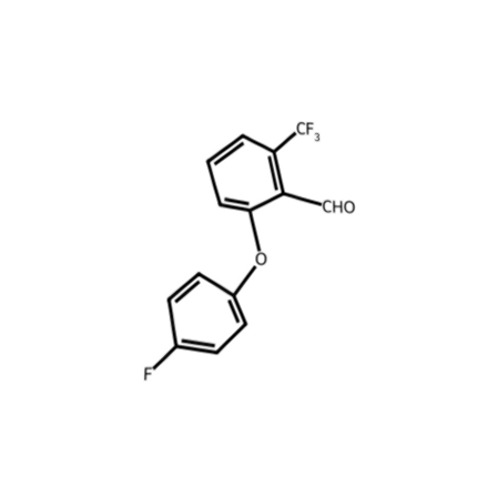 O=Cc1c(Oc2ccc(F)cc2)cccc1C(F)(F)F